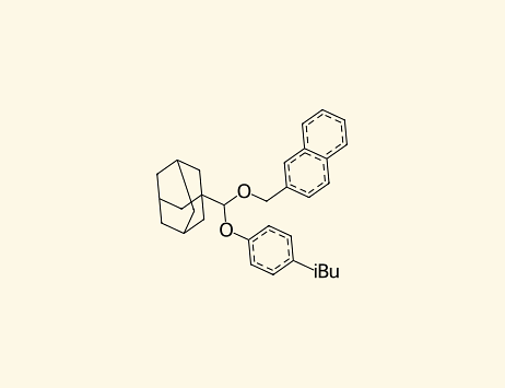 CCC(C)c1ccc(OC(OCc2ccc3ccccc3c2)C23CC4CC(CC(C4)C2)C3)cc1